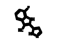 N#Cc1c(-c2ccn[nH]2)[nH]c2c(F)cccc12